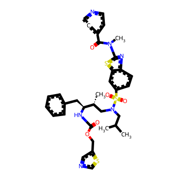 CC(C)CN(C[C@@H](C)[C@H](Cc1ccccc1)NC(=O)OCc1cncs1)S(=O)(=O)c1ccc2nc(N(C)C(=O)c3ccncc3)sc2c1